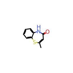 CC1=CC(=O)Nc2ccccc2S1